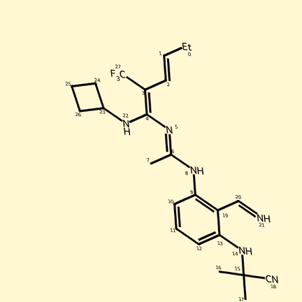 CC/C=C/C(=C(\N=C(/C)Nc1cccc(NC(C)(C)C#N)c1C=N)NC1CCC1)C(F)(F)F